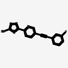 CCC(C)c1nc(-c2ccc(C#Cc3cccc(F)c3)cn2)no1